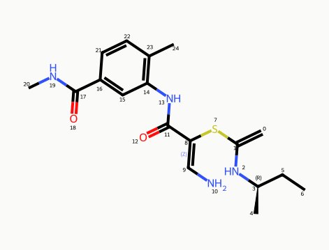 C=C(N[C@H](C)CC)S/C(=C\N)C(=O)Nc1cc(C(=O)NC)ccc1C